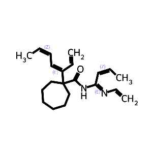 C=C/N=C(\C=C/C)NC(=O)C1(/C(C=C)=C/C=C\C)CCCCCC1